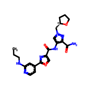 CCCNc1cc(-c2nc(C(=O)Nc3cn(C[C@@H]4CCCO4)nc3C(N)=O)co2)ccn1